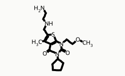 COCCn1c(=O)n(C2CCCC2)c(=O)c2c(C)c(CNCCN)sc21